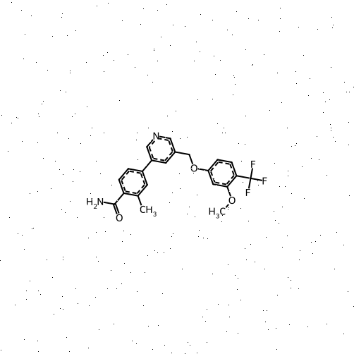 COc1cc(OCc2cncc(-c3ccc(C(N)=O)c(C)c3)c2)ccc1C(F)(F)F